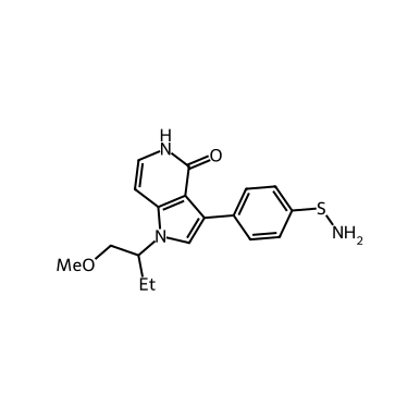 CCC(COC)n1cc(-c2ccc(SN)cc2)c2c(=O)[nH]ccc21